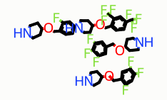 FC(F)(F)c1ccc(COC2CCNCC2)c(C(F)(F)F)c1.Fc1cc(COC2CCNCC2)cc(F)c1F.Fc1cc(F)c(COC2CCNCC2)cc1F.Fc1ccccc1COC1CCNCC1